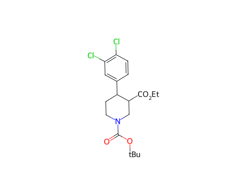 CCOC(=O)C1CN(C(=O)OC(C)(C)C)CCC1c1ccc(Cl)c(Cl)c1